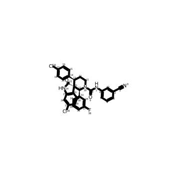 N#Cc1cccc(NC(=O)N2CC[C@H](c3ccc(Cl)cc3)[C@@]3(C(=O)Nc4cc(Cl)ccc43)[C@@H]2c2cccc(F)c2)c1